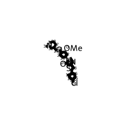 COc1cc(-n2cnc3cc(-c4ccc(Cl)cc4)sc3c2=O)ccc1OCC1CCCN(C)C1